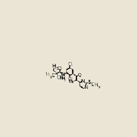 CSc1nccc(C(Br)C(=O)c2cc(Cl)cc(NC(=O)C(C)(C)C)c2Cl)n1